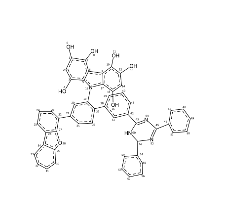 Oc1cc(O)c2c(c1O)c1c(O)c(O)cc(O)c1n2-c1cc(-c2cccc3c2oc2ccccc23)ccc1-c1cccc(C2=NC(c3ccccc3)=NC(c3ccccc3)N2)c1